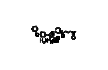 CN(C/C=C/C(=O)N1CCC[C@@H](n2cc(-c3ccc(Oc4ccccc4)cc3)c3c(N)n[nH]c(=O)c32)C1)C1CCC1